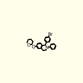 Brc1ccc(C2c3ccc(OC4CCCCO4)cc3CCN2c2ccccc2)cc1